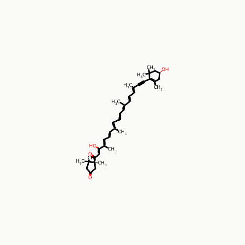 CC1=C(C#C/C(C)=C/C=C/C(C)=C/C=C/C=C(C)/C=C/C=C(C)/C(O)=C/C(=O)[C@@]2(C)CC(=O)CC2(C)C)C(C)(C)C[C@H](O)C1